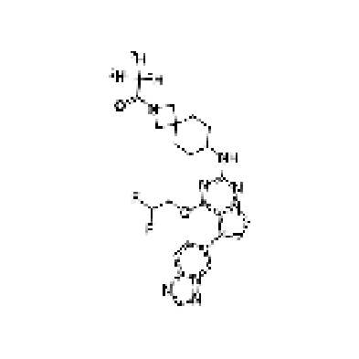 [2H]C([2H])([2H])C(=O)N1CC2(CCC(Nc3nc(OCC(F)F)c4c(-c5ccc6ncnn6c5)ccn4n3)CC2)C1